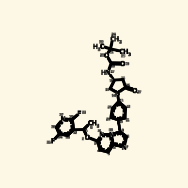 CC(Oc1ccc2ncc(-c3ccc(N4C[C@@H](NC(=O)OC(C)(C)C)CC4=O)cc3)n2n1)c1cc(F)cnc1F